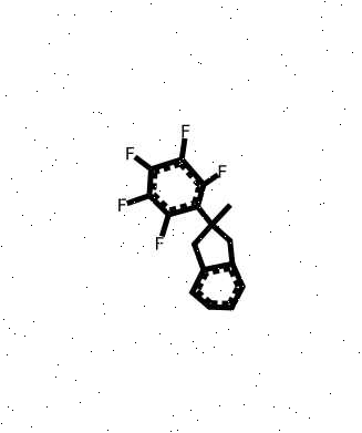 CC1(c2c(F)c(F)c(F)c(F)c2F)Cc2ccccc2C1